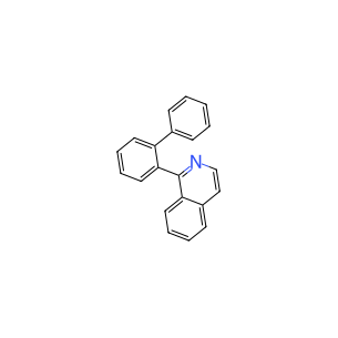 c1ccc(-c2ccccc2-c2nccc3ccccc23)cc1